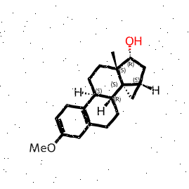 COC1=CCC2=C(CC[C@@H]3[C@@H]2CC[C@]2(C)[C@H](O)C[C@@H]4C[C@]432)C1